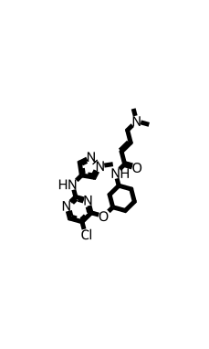 CN(C)CC=CC(=O)NC1CCCC(Oc2nc(Nc3cnn(C)c3)ncc2Cl)C1